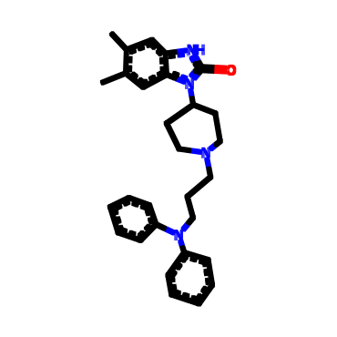 Cc1cc2[nH]c(=O)n(C3CCN(CCCN(c4ccccc4)c4ccccc4)CC3)c2cc1C